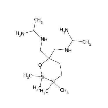 CC(N)NCC1(CNC(C)N)CC[Si](C)(C)[Si](C)(C)O1